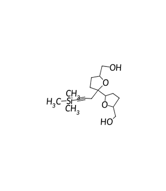 C[Si](C)(C)C#CCC1(C2CCC(CO)O2)CCC(CO)O1